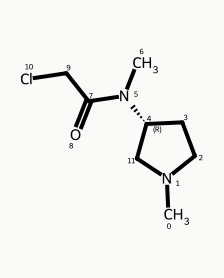 CN1CC[C@@H](N(C)C(=O)CCl)C1